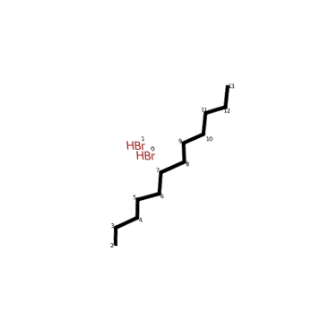 Br.Br.CCCCCCCCCCCC